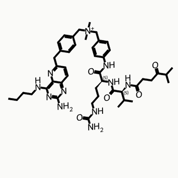 CCCCNc1nc(N)nc2ccc(Cc3ccc(C[N+](C)(C)Cc4ccc(NC(=O)[C@H](CCCNC(N)=O)NC(=O)[C@@H](NC(=O)CCC(=O)C(C)C)C(C)C)cc4)cc3)nc12